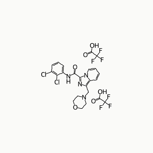 O=C(Nc1cccc(Cl)c1Cl)c1nc(CN2CCOCC2)c2ccccn12.O=C(O)C(F)(F)F.O=C(O)C(F)(F)F